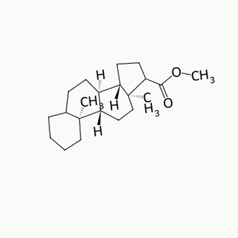 COC(=O)C1CC[C@H]2[C@@H]3CCC4CCCC[C@]4(C)[C@H]3CC[C@]12C